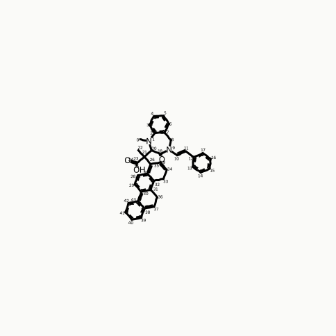 CN1c2ccccc2CN(C=Cc2ccccc2)C(=O)C1C(C)(C(=O)O)C1=c2ccc3c(c2CC=C1)CC=c1ccccc1=3